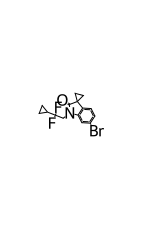 O=C1N(CC(F)(F)C2CC2)c2cc(Br)ccc2C12CC2